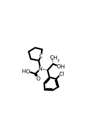 C[C@H](O)[C@H](c1ccccc1Cl)N(C(=O)O)C1CCCCC1